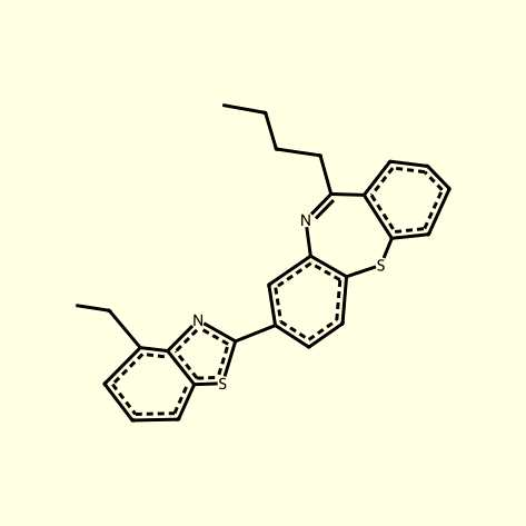 CCCCC1=Nc2cc(-c3nc4c(CC)cccc4s3)ccc2Sc2ccccc21